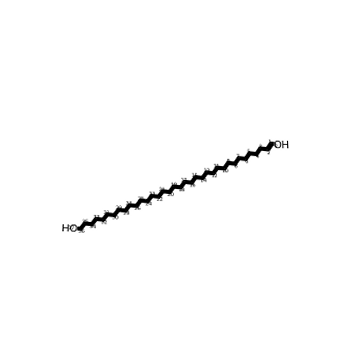 OC=CCCCCCCCCCCCCCCCCCCCCCCCCCCCCCCCCCCO